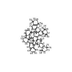 CB1c2cc3c(cc2-n2c4c1c(-c1cc5c(cc1Nc1ccc6c(c1)C(C)(C)CCC6(C)C)C(C)(C)CCC5(C)C)cc(N1c5ccccc5C5(C)CCCCC15C)c4c1ccc4ccccc4c12)C(C)(C)CCC3(C)C